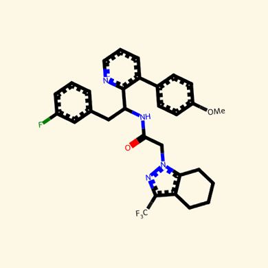 COc1ccc(-c2cccnc2C(Cc2cccc(F)c2)NC(=O)Cn2nc(C(F)(F)F)c3c2CCCC3)cc1